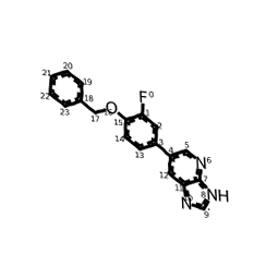 Fc1cc(-c2cnc3[nH][c]nc3c2)ccc1OCc1ccccc1